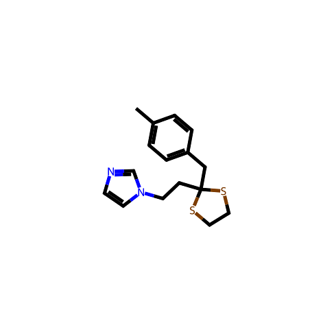 Cc1ccc(CC2(CCn3ccnc3)SCCS2)cc1